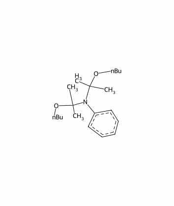 CCCCOC(C)(C)N(c1ccccc1)C(C)(C)OCCCC